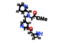 COC(=O)CN(Cc1cncc(OC[C@@H]2CCN2)c1)Cc1ccccn1